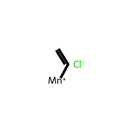 C=[CH][Mn+].[Cl-]